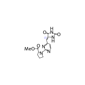 COC(=O)C1CCCN1c1nccc(/C=C2\NC(=O)NC2=O)n1